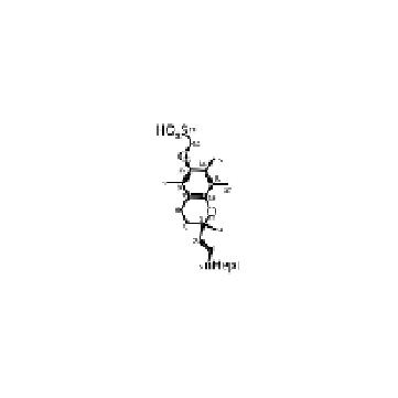 CCCCCCC/C=C/C1(C)CCc2c(C)c(OCS(=O)(=O)O)c(C)c(C)c2O1